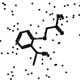 CC(N)c1ccccc1OCC(N)=O